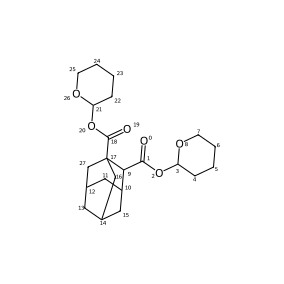 O=C(OC1CCCCO1)C1C2CC3CC(C2)CC1(C(=O)OC1CCCCO1)C3